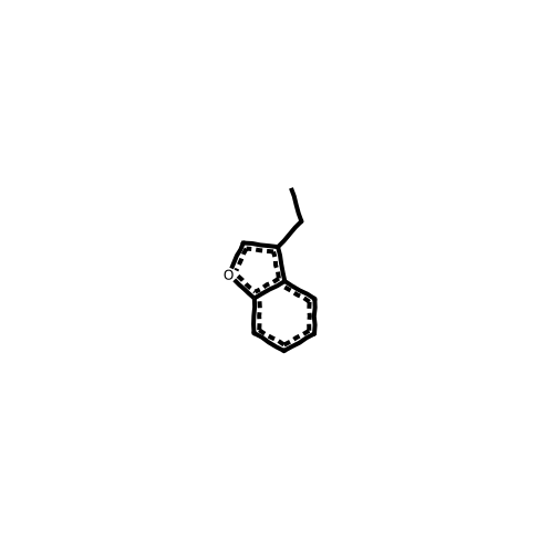 CCc1coc2ccccc12